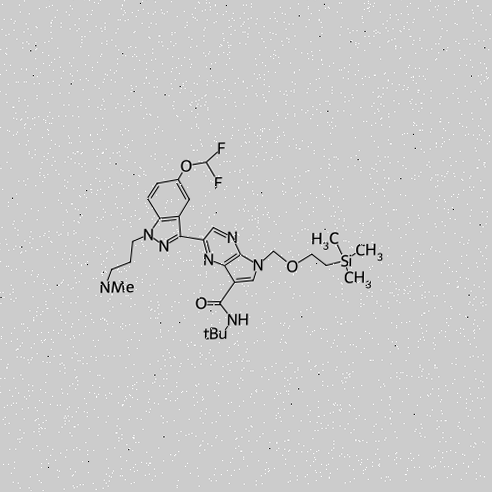 CNCCCn1nc(-c2cnc3c(n2)c(C(=O)NC(C)(C)C)cn3COCC[Si](C)(C)C)c2cc(OC(F)F)ccc21